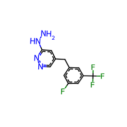 NNc1cc(Cc2cc(F)cc(C(F)(F)F)c2)cnn1